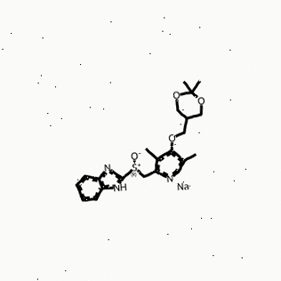 Cc1cnc(C[S@+]([O-])c2nc3ccccc3[nH]2)c(C)c1OCC1COC(C)(C)OC1.[Na]